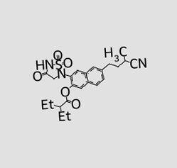 CCC(CC)C(=O)Oc1cc2ccc(CCC(C)C#N)cc2cc1N1CC(=O)NS1(=O)=O